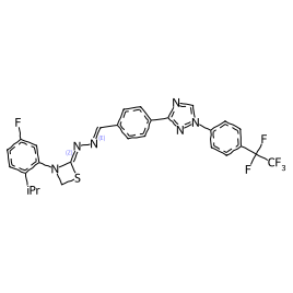 CC(C)c1ccc(F)cc1N1CS/C1=N\N=C\c1ccc(-c2ncn(-c3ccc(C(F)(F)C(F)(F)F)cc3)n2)cc1